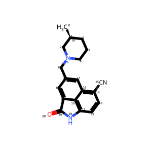 C[C@H]1CCCN(Cc2cc3c4c(ccc(C#N)c4c2)NC3=O)C1